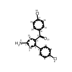 Nc1nc(-c2ccc(Cl)cc2)c(C(=O)c2ccc(Cl)cc2)s1